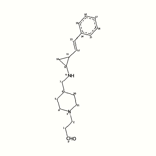 O=CCCN1CCC(CNC2CC2/C=C/c2ccccc2)CC1